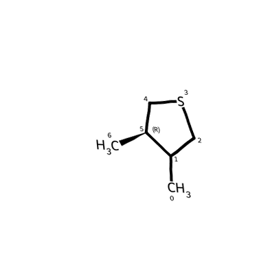 CC1CSC[C@@H]1C